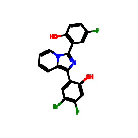 Oc1cc(F)c(Br)cc1-c1nc(-c2cc(F)ccc2O)n2ccccc12